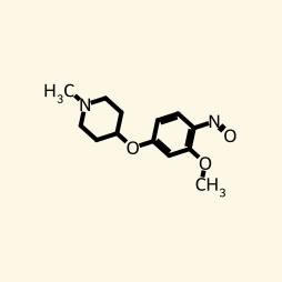 COc1cc(OC2CCN(C)CC2)ccc1N=O